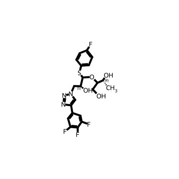 C[C@@H](O)C(CO)OC(Sc1ccc(F)cc1)[C@@H](O)Cn1cc(-c2cc(F)c(F)c(F)c2)nn1